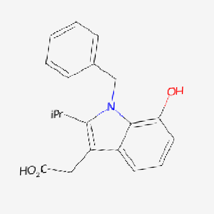 CC(C)c1c(CC(=O)O)c2cccc(O)c2n1Cc1ccccc1